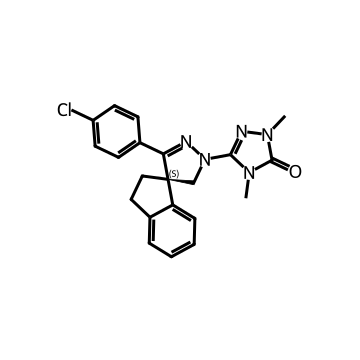 Cn1nc(N2C[C@@]3(CCc4ccccc43)C(c3ccc(Cl)cc3)=N2)n(C)c1=O